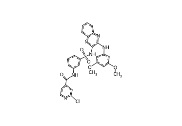 COc1cc(Nc2nc3ccccc3nc2NS(=O)(=O)c2cccc(NC(=O)c3ccnc(Cl)c3)c2)cc(OC)c1